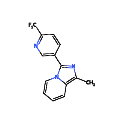 Cc1nc(-c2ccc(C(F)(F)F)nc2)n2ccccc12